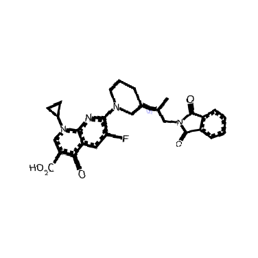 C/C(CN1C(=O)c2ccccc2C1=O)=C1\CCCN(c2nc3c(cc2F)c(=O)c(C(=O)O)cn3C2CC2)C1